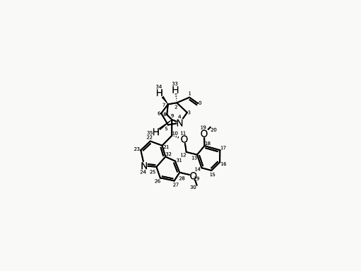 C=C[C@H]1CN2CC[C@H]1C[C@H]2[C@H](OCc1ccccc1OC)c1ccnc2ccc(OC)cc12